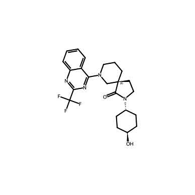 O=C1N([C@H]2CC[C@H](O)CC2)CC[C@@]12CCCN(c1nc(C(F)(F)F)nc3ccccc13)C2